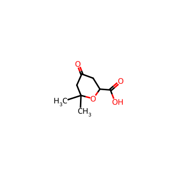 CC1(C)CC(=O)CC(C(=O)O)O1